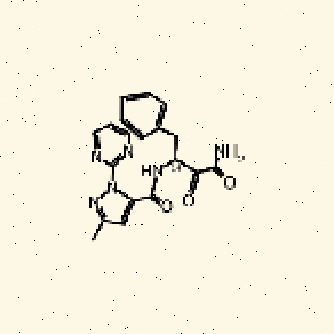 Cc1cc(C(=O)N[C@@H](Cc2ccccc2)C(=O)C(N)=O)n(-c2ncccn2)n1